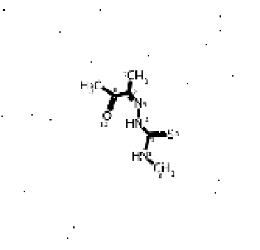 CNC(=S)NN=C(C)C(C)=O